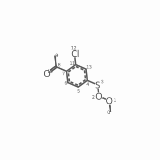 COOSc1ccc(C(C)=O)c(Cl)c1